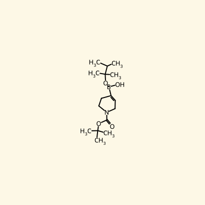 CC(C)C(C)(C)OB(O)C1=CCN(C(=O)OC(C)(C)C)CC1